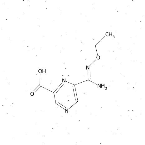 CCON=C(N)c1cncc(C(=O)O)n1